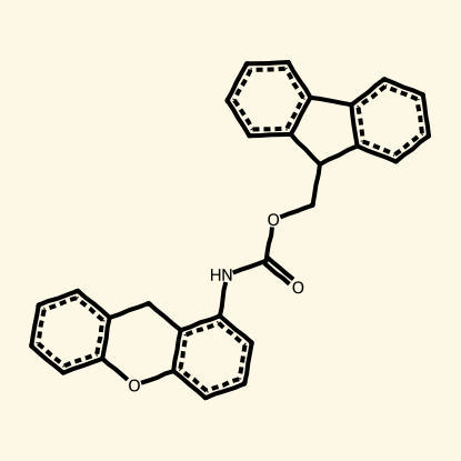 O=C(Nc1cccc2c1Cc1ccccc1O2)OCC1c2ccccc2-c2ccccc21